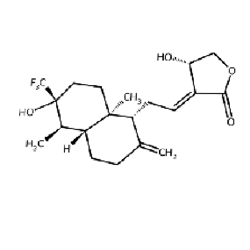 C=C1CC[C@@H]2[C@@H](C)[C@@](O)(C(F)(F)F)CC[C@@]2(C)[C@@H]1C/C=C1/C(=O)OC[C@H]1O